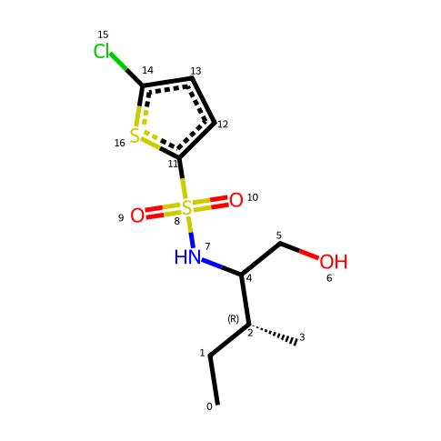 CC[C@@H](C)C(CO)NS(=O)(=O)c1ccc(Cl)s1